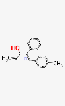 C=CC(O)/C(=C/c1ccc(C)cc1)c1ccccc1